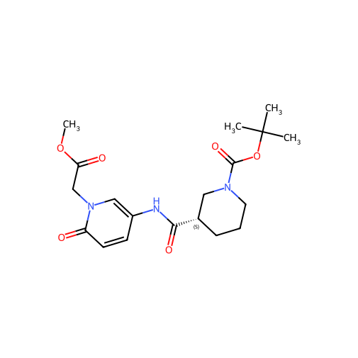 COC(=O)Cn1cc(NC(=O)[C@H]2CCCN(C(=O)OC(C)(C)C)C2)ccc1=O